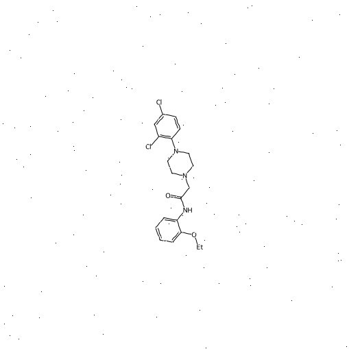 CCOc1ccccc1NC(=O)CN1CCN(c2ccc(Cl)cc2Cl)CC1